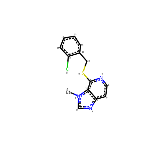 CCn1cnc2ccnc(SCc3ccccc3Cl)c21